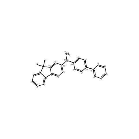 CC1(C)c2ccccc2-c2ccc(N(N)c3ccc(-c4ccccc4)cc3)cc21